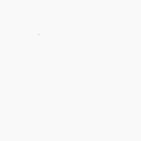 Cc1ccc(C2OCC(CO)(CO)CO2)cc1